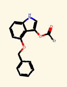 CCC(=O)Oc1c[nH]c2cccc(OCc3ccccc3)c12